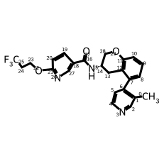 Cc1cnccc1-c1cccc2c1C[C@H](NC(=O)c1ccc(OCCC(F)(F)F)nc1)CO2